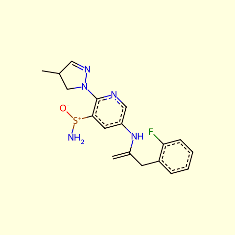 C=C(Cc1ccccc1F)Nc1cnc(N2CC(C)C=N2)c([S+](N)[O-])c1